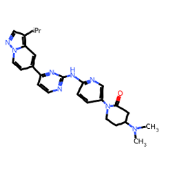 CC(C)c1cnn2ccc(-c3ccnc(Nc4ccc(N5CCC(N(C)C)CC5=O)cn4)n3)cc12